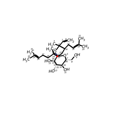 C=CC(C)(OC1O[C@H](CO)[C@@H](O)[C@H](O)[C@H]1O)C(CC=C(C)C)C/C=C(\C)CCC=C(C)C